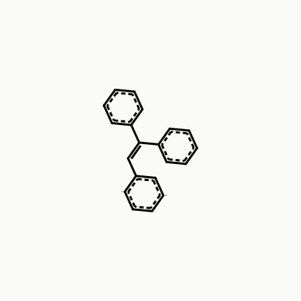 [c]1cc[c]c(C=C(c2ccccc2)c2ccccc2)c1